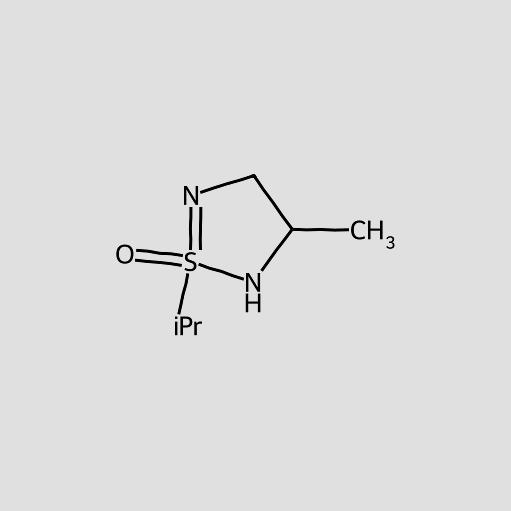 CC1CN=S(=O)(C(C)C)N1